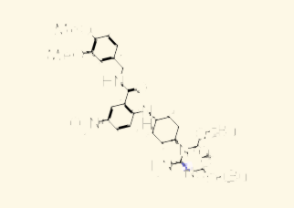 COc1ccc(CNC(=O)c2cc([N+](=O)[O-])ccc2NC2CCC(N(C(=O)OC(C)(C)C)/C(N)=N\C(=O)OC(C)(C)C)CC2)cc1OC